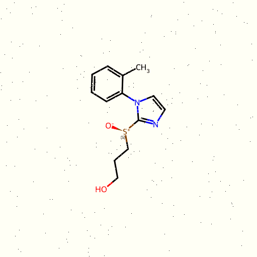 Cc1ccccc1-n1ccnc1[S@+]([O-])CCCO